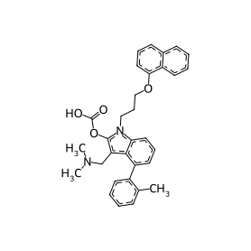 Cc1ccccc1-c1cccc2c1c(CN(C)C)c(OC(=O)O)n2CCCOc1cccc2ccccc12